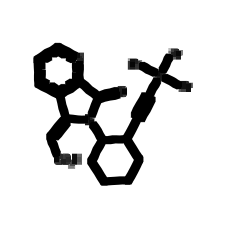 CC(C)[Si](C#CC1CCCCC1N1C(=O)c2ncccc2C1=CC(=O)O)(C(C)C)C(C)C